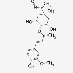 C=C(/C=C/c1ccc(O)c(OC)c1)O[C@H]1C(O)C[C@](O)(C(=C)N=O)C[C@H]1O